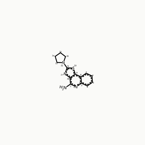 Nc1nc2ccccc2c2sc(N3CCCC3)nc12